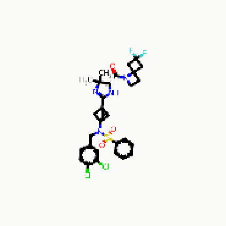 CC1(C)N=C(C23CC(N(Cc4ccc(Cl)c(Cl)c4)S(=O)(=O)c4ccccc4)(C2)C3)N[C@H]1C(=O)N1CCC12CC(F)(F)C2